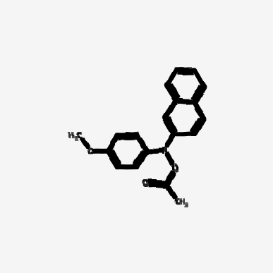 COc1ccc(N(OC(C)=O)c2ccc3ccccc3c2)cc1